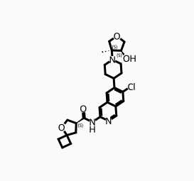 C[C@]1(N2CCC(c3cc4cc(NC(=O)[C@@H]5COC6(CCC6)C5)ncc4cc3Cl)CC2)COC[C@H]1O